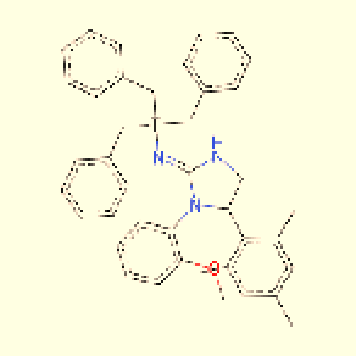 COc1ccccc1N1C(=[N][Ti]([CH2]c2ccccc2)([CH2]c2ccccc2)[CH2]c2ccccc2)NCC1c1c(C)cc(C)cc1C